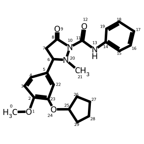 COc1ccc(C2CC(=O)N(C(=O)Nc3ccccc3)N2C)cc1OC1CCCC1